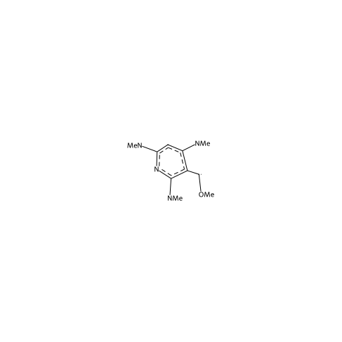 CNc1cc(NC)c([CH]OC)c(NC)n1